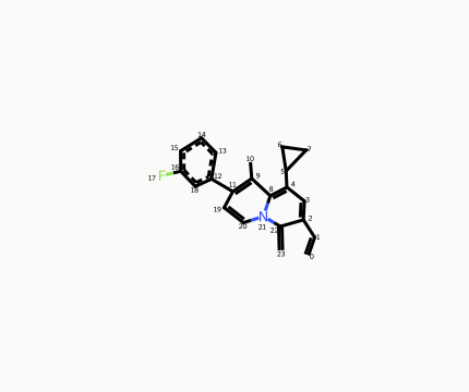 C=CC1=CC(C2CC2)=C2C(C)=C(c3cccc(F)c3)C=CN2C1=C